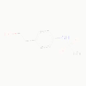 CCCS(=O)(=O)Nc1ccc(CCO)cc1